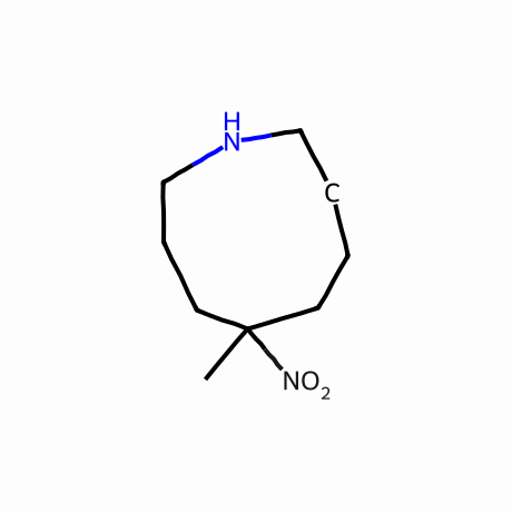 CC1([N+](=O)[O-])CCCCNCCC1